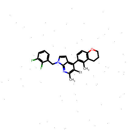 CCc1c(C)nc2c(ccn2Cc2cccc(F)c2F)c1-c1ccc2c(c1C)CCCO2